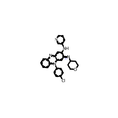 Clc1ccc(-n2c3c/c(=N\C4CCOCC4)c(Nc4cccnc4)cc-3nc3ccccc32)cc1